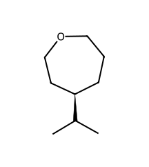 CC(C)[C@@H]1CCCOCC1